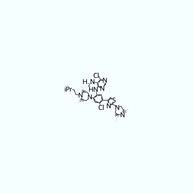 CC(C)CCN1[C@H](C)CN(c2cc(Cl)c(-c3csc(N4C[C@@H](C)N(C)[C@@H](C)C4)n3)cc2Nc2ncnc(Cl)c2N)C[C@@H]1C